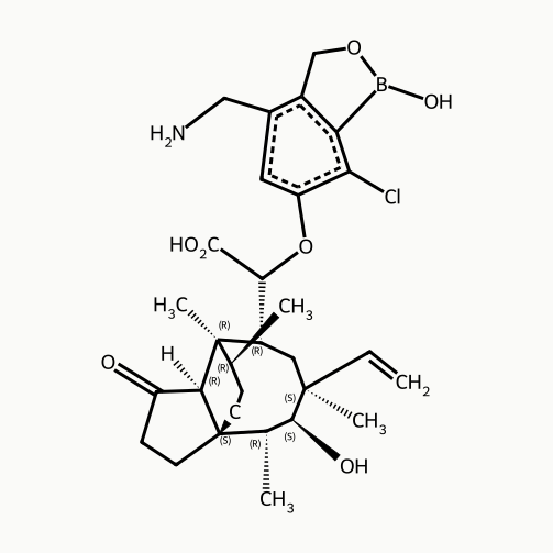 C=C[C@]1(C)C[C@@H](C(Oc2cc(CN)c3c(c2Cl)B(O)OC3)C(=O)O)[C@@]2(C)[C@H](C)CC[C@]3(CCC(=O)[C@H]32)[C@@H](C)[C@@H]1O